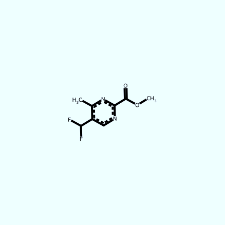 COC(=O)c1ncc(C(F)F)c(C)n1